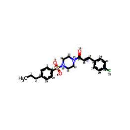 CCCc1ccc(S(=O)(=O)N2CCN(C(=O)/C=C/c3ccc(F)cc3)CC2)cc1